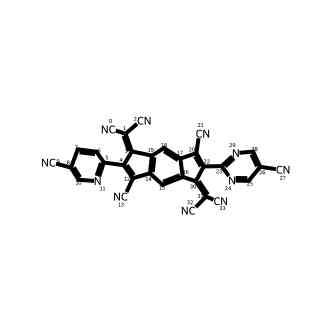 N#CC(C#N)=C1C(c2ccc(C#N)cn2)=C(C#N)c2cc3c(cc21)C(C#N)=C(c1ncc(C#N)cn1)C3=C(C#N)C#N